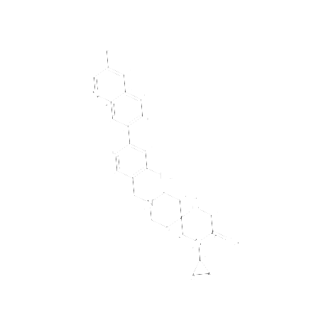 Cc1cnc2cc(-c3ccc(CN4CCC5(CC4)CN(C4CC4)C(=O)CO5)c(F)c3)ccc2c1